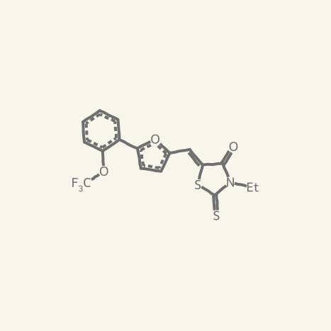 CCN1C(=O)C(=Cc2ccc(-c3ccccc3OC(F)(F)F)o2)SC1=S